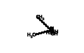 CCCCCCCCCCCCc1cccc([PH](O)(S)S)c1CCCCCCCCCCCC